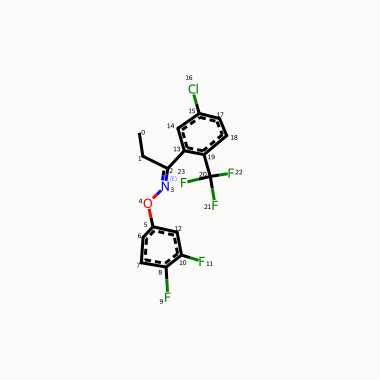 CC/C(=N\Oc1ccc(F)c(F)c1)c1cc(Cl)ccc1C(F)(F)F